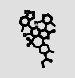 C=CC(=O)N1CC2CS(=O)(=O)c3c(Cl)c(-c4c(C)ccc5[nH]ncc45)nc4c3c(nc(=O)n4-c3c(C)ccnc3C(C)C)N2CC1C